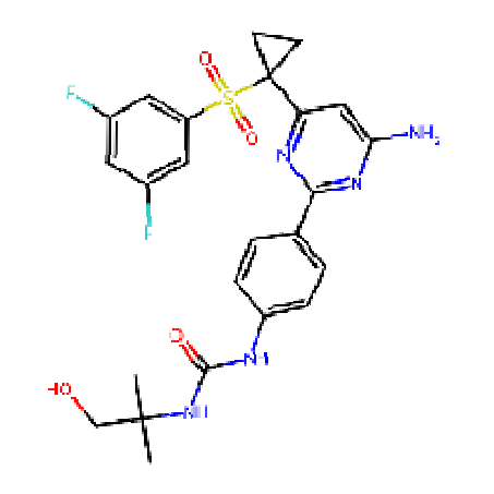 CC(C)(CO)NC(=O)Nc1ccc(-c2nc(N)cc(C3(S(=O)(=O)c4cc(F)cc(F)c4)CC3)n2)cc1